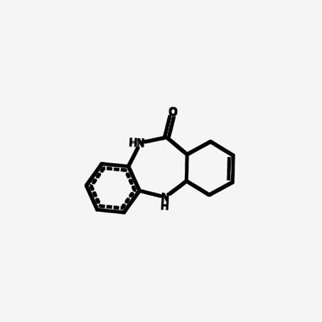 O=C1Nc2ccccc2NC2CC=CCC12